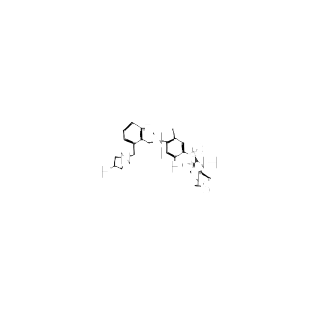 Cc1cc(S(=O)(=O)Nc2cscn2)c(F)cc1NCc1c(F)cccc1CN1CC(F)C1